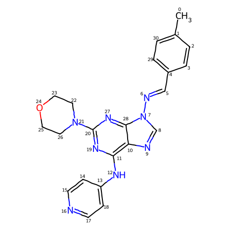 Cc1ccc(C=Nn2cnc3c(Nc4ccncc4)nc(N4CCOCC4)nc32)cc1